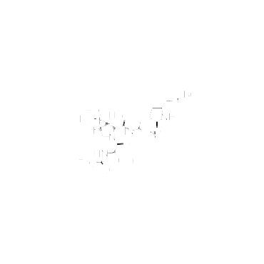 CC(C)(C)OCC1C[C@@H](C[C@@H](C#N)NC(=O)[C@@H]2[C@@H]3[C@H](CN2C(=O)[C@@H](NC(=O)C(F)(F)F)C(C)(C)C)C3(C)C)C(=O)N1